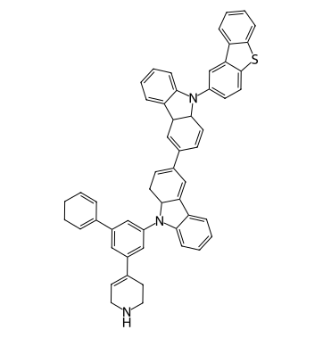 C1=CC(c2cc(C3=CCNCC3)cc(N3c4ccccc4C4=CC(C5=CC6c7ccccc7N(c7ccc8sc9ccccc9c8c7)C6C=C5)=CCC43)c2)=CCC1